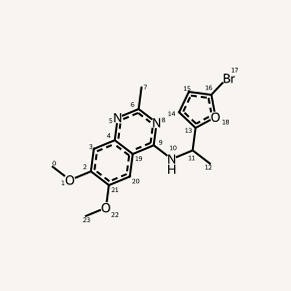 COc1cc2nc(C)nc(NC(C)c3ccc(Br)o3)c2cc1OC